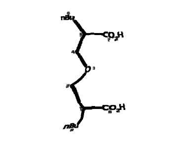 CCCCC(COCC(CCCC)C(=O)O)C(=O)O